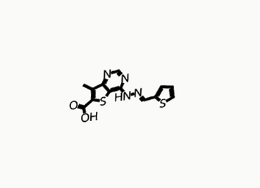 Cc1c(C(=O)O)sc2c(NN=Cc3cccs3)ncnc12